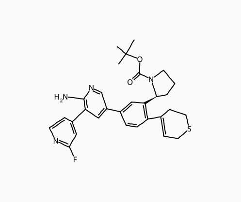 CC(C)(C)OC(=O)N1CCC[C@H]1c1cc(-c2cnc(N)c(-c3ccnc(F)c3)c2)ccc1C1=CCSCC1